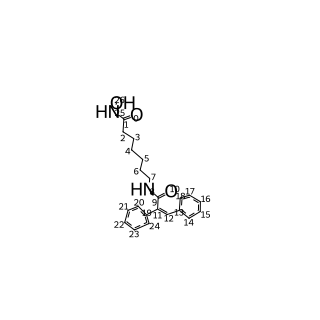 O=C(CCCCCCNC(=O)C(=Cc1ccccc1)c1ccccc1)NO